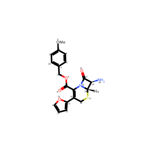 COc1ccc(COC(=O)C2=C(c3ccco3)CS[C@H]3[C@H](N)C(=O)N23)cc1